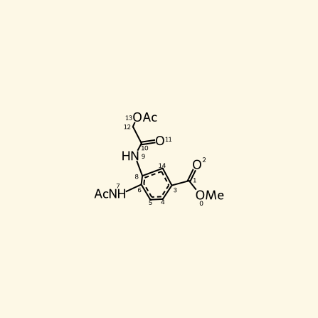 COC(=O)c1ccc(NC(C)=O)c(NC(=O)COC(C)=O)c1